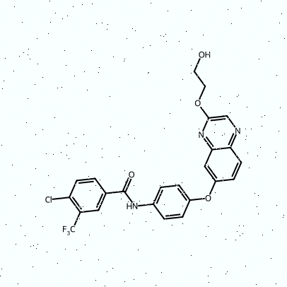 O=C(Nc1ccc(Oc2ccc3ncc(OCCO)nc3c2)cc1)c1ccc(Cl)c(C(F)(F)F)c1